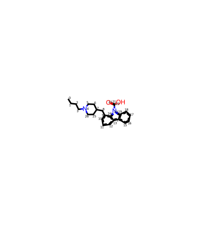 CCCCN1CCC(Cc2cccc3c4ccccc4n(C(=O)O)c23)CC1